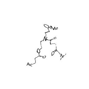 COCCN(CCOC(=O)CCC(C)=O)C(=O)CCC(=O)N(C)C